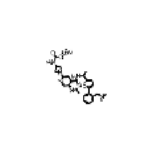 Cc1nc(NC(C)c2ccc(-c3ccccc3CN(C)C)s2)c2cc(N3CC(NC(=O)OC(C)(C)C)C3)ncc2n1